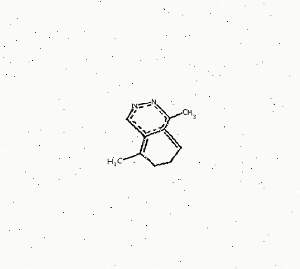 CC1=c2cnnc(C)c2=CCC1